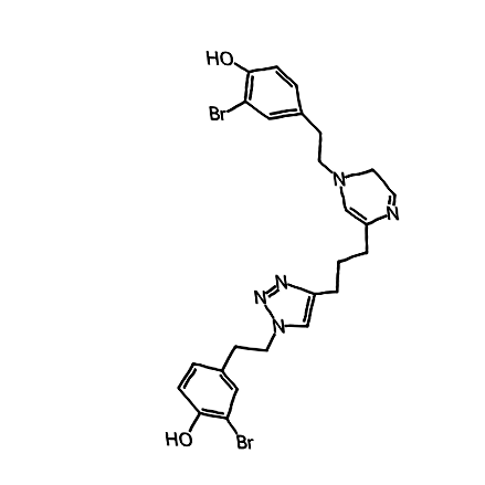 Oc1ccc(CCN2C=C(CCCc3cn(CCc4ccc(O)c(Br)c4)nn3)N=CC2)cc1Br